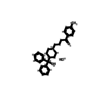 Cc1ccc(C(=O)CCCN2CCC(C(O)(c3ccccc3)c3ccccc3)CC2)cc1.Cl